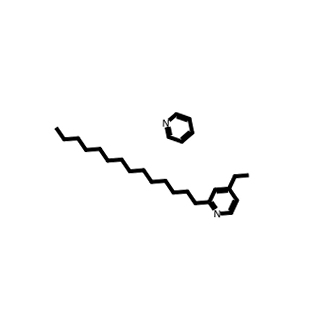 CCCCCCCCCCCCCCc1cc(CC)ccn1.c1ccncc1